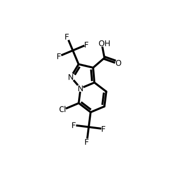 O=C(O)c1c(C(F)(F)F)nn2c(Cl)c(C(F)(F)F)ccc12